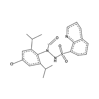 CC(C)c1cc(Cl)cc(C(C)C)c1N([C]=O)NS(=O)(=O)c1cccc2cccnc12